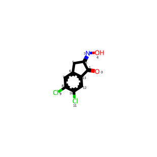 O=C1C(=NO)Cc2cc(Cl)c(Cl)cc21